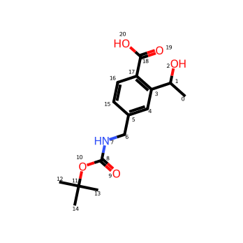 CC(O)c1cc(CNC(=O)OC(C)(C)C)ccc1C(=O)O